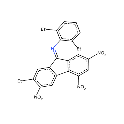 CCc1cc2c(cc1[N+](=O)[O-])-c1c(cc([N+](=O)[O-])cc1[N+](=O)[O-])C2=Nc1c(CC)cccc1CC